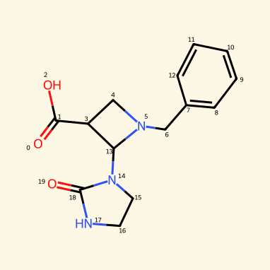 O=C(O)C1CN(Cc2ccccc2)C1N1CCNC1=O